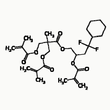 C=C(C)C(=O)OCC(C)(COC(=O)C(=C)C)C(=O)OCC(CC(F)(F)C1CCCCC1)OC(=O)C(=C)C